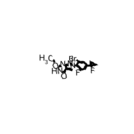 CCOc1nc2nn(-c3c(F)cc(C4(F)CC4)cc3Br)cc2c(=O)[nH]1